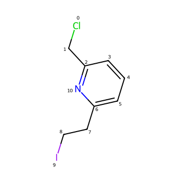 ClCc1cccc(CCI)n1